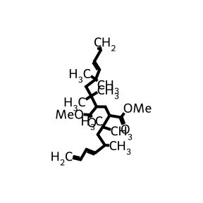 C=C/C=C/C(C)CC(C)(C)C(CC(C(=O)OC)C(C)(C)CC(C)(C)/C=C/C=C)C(=O)OC